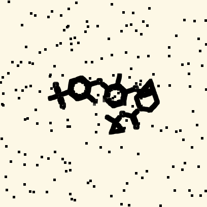 Cc1c(OCC23CCN(C(=O)OC4(C)CC4)CC2C3)ncnc1Oc1ccc(S(C)(=O)=O)cc1F